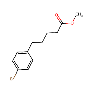 COC(=O)CCCCc1ccc(Br)cc1